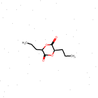 CCCC1OC(=O)C(CCC)OC1=O